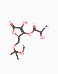 CC(=O)C(O)C(=O)OC1=C(O)C(=O)O[C@@H]1[C@@H]1COC(C)(C)O1